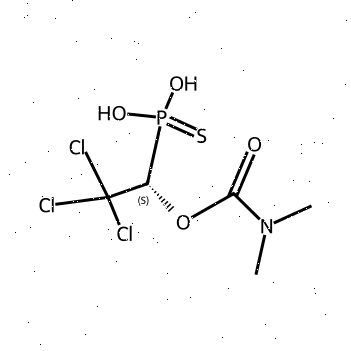 CN(C)C(=O)O[C@H](C(Cl)(Cl)Cl)P(O)(O)=S